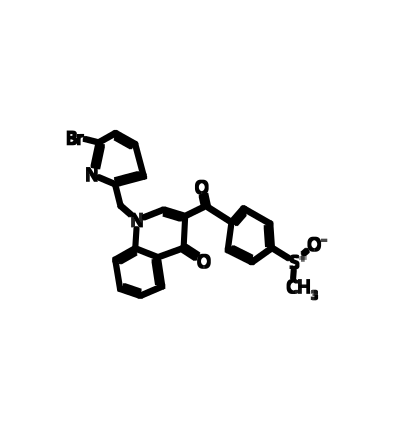 C[S+]([O-])c1ccc(C(=O)c2cn(Cc3cccc(Br)n3)c3ccccc3c2=O)cc1